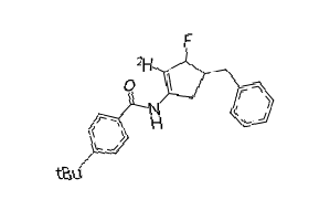 [2H]C1=C(NC(=O)c2ccc(C(C)(C)C)cc2)CC(Cc2ccccc2)C1F